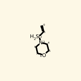 C=C[SiH2]N1CCOCC1